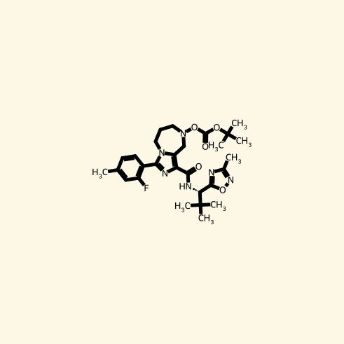 Cc1ccc(-c2nc(C(=O)N[C@H](c3nc(C)no3)C(C)(C)C)c3n2CCCN(OC(=O)OC(C)(C)C)C3)c(F)c1